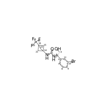 O=C(N[C@H](CO)c1cccc(Br)c1)NC12CC(C(F)(F)F)(C1)C2